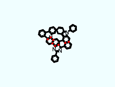 CN(c1cccc(-c2cccc3c2c2c(n3-c3ccccc3)C=CCC2)c1)c1ccccc1-c1ccccc1-c1ccc(-c2nc(-c3ccccc3)nc(-c3ccccc3)n2)cc1